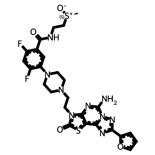 C[S@@+]([O-])CCNC(=O)c1cc(N2CCN(CCn3c(=O)sc4c3nc(N)n3nc(-c5ccco5)nc43)CC2)c(F)cc1F